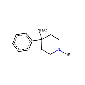 CC(=O)NC1(c2ccccc2)CCN(C(C)(C)C)CC1